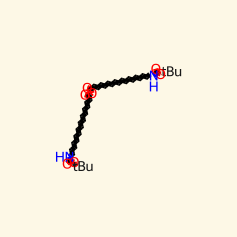 CC(C)(C)OC(=O)NCCCCCCCCCCCCCCCCCC(=O)OC(=O)CCCCCCCCCCCCCCCCCNC(=O)OC(C)(C)C